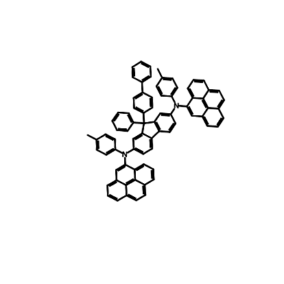 Cc1ccc(N(c2ccc3c(c2)C(c2ccccc2)(c2ccc(-c4ccccc4)cc2)c2cc(N(c4ccc(C)cc4)c4cc5cccc6ccc7cccc4c7c65)ccc2-3)c2cc3cccc4ccc5cccc2c5c43)cc1